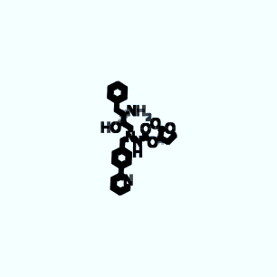 N[C@@H](Cc1ccccc1)[C@@H](O)CN(Cc1ccc(-c2ccccn2)cc1)NC(=O)O[C@@H]1CCOC1=O